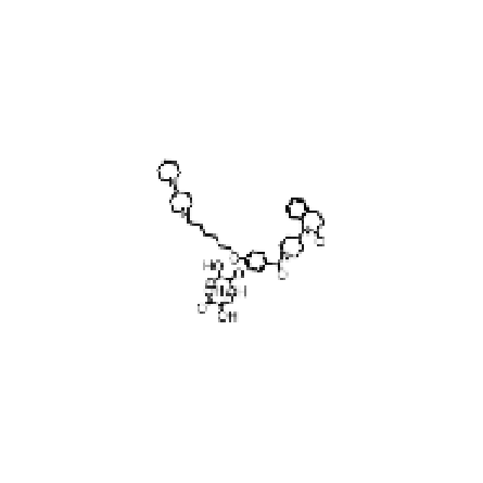 O=C(O)C(=O)O.O=C(O)C(=O)O.O=C(c1ccc(OCCCCCCN2CCC(N3CCCCC3)CC2)cc1)N1CCC(N2C(=O)CCc3ccccc32)CC1